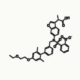 CCOCCOc1cc(C)c(-c2cccc(CN(c3ccc4c(C(C)C(=O)O)coc4c3)S(=O)(=O)c3ccccc3[N+](=O)[O-])c2)c(C)c1